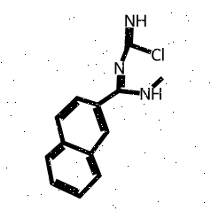 CN/C(=N\C(=N)Cl)c1ccc2ccccc2c1